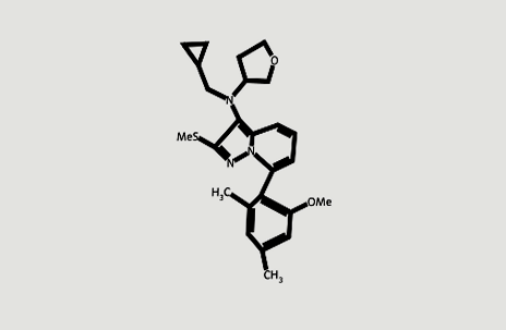 COc1cc(C)cc(C)c1-c1cccc2c(N(CC3CC3)C3CCOC3)c(SC)nn12